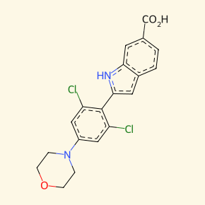 O=C(O)c1ccc2cc(-c3c(Cl)cc(N4CCOCC4)cc3Cl)[nH]c2c1